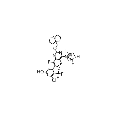 Oc1cc(Cl)c(C(F)(F)F)c(-c2ncc3c(N4C[C@H]5C[C@@H]4CN5)nc(OCC45CCCN4CCC5)nc3c2F)c1